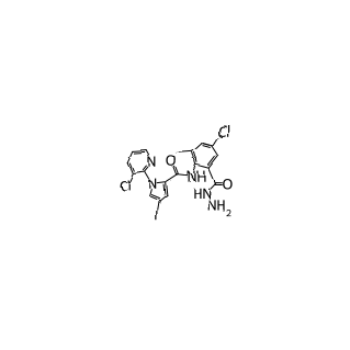 Cc1cc(Cl)cc(C(=O)NN)c1NC(=O)c1cc(I)cn1-c1ncccc1Cl